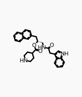 O=C(Cc1c[nH]c2ccccc12)NC[C@@H](Cc1ccc2ccccc2c1)OC(=O)C1CCNCC1